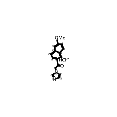 COc1ccc2cc(C(=O)Cn3ccnc3)ccc2c1.Cl